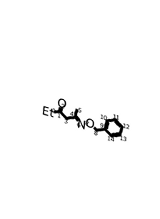 CCC(=O)C/C(C)=N/OCc1ccccc1